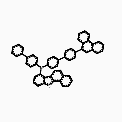 c1ccc(-c2ccc(N(c3ccc(-c4ccc(-c5cc6ccccc6c6ccccc56)cc4)cc3)c3cccc4sc5c6ccccc6ccc5c34)cc2)cc1